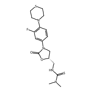 CN(C)C(=S)NC[C@H]1CN(c2ccc(N3CCSCC3)c(F)c2)C(=O)O1